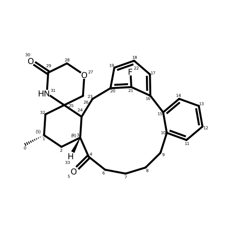 C[C@H]1C[C@H]2C(=O)CCCCc3ccccc3-c3cccc(c3F)CC2C2(COCC(=O)N2)C1